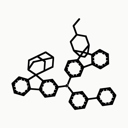 CCC1CC2CCCC(C1)C21c2ccccc2-c2cc(N(c3cccc(-c4ccccc4)c3)c3ccc4c(c3)C3(c5ccccc5-4)C4CC5CC(C4)CC3C5)ccc21